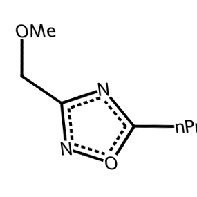 CCCc1nc(COC)no1